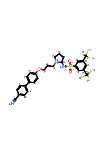 N#Cc1ccc(-c2ccc(OCCCN3CCCC3NS(=O)(=O)c3cc(C(F)(F)F)cc(C(F)(F)F)c3)cc2)cc1